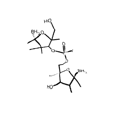 B[C@]1(C)O[C@](C)(CO[P@](=O)(I)OC2C(C)(CO)O[C@](B)(C)C2(C)C)C(O)C1C